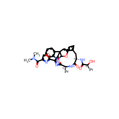 CC(C)[C@H](O)C(=O)N[C@H]1Cc2ccc3c(c2)C2(c4ccccc4NC2O3)c2oc(nc2-c2nc(C(=O)N(C)C)co2)[C@H](C(C)C)NC1=O